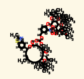 C=CCOC(=O)[C@H]1O[C@@H](Oc2ccc(COC(=O)O[C@H]3CC(=O)O[C@H](c4ccc5sc(C)nc5c4)C/C=C(/C)CCC[C@H](C)[C@H](O[Si](C)(C)C(C)(C)C)[C@@H](CC=C)C(=O)C3(C)C)cc2[N+](=O)[O-])[C@H](O[Si](C)(C)C(C)(C)C)[C@@H](O[Si](C)(C)C(C)(C)C)[C@H]1O[Si](C)(C)C(C)(C)C